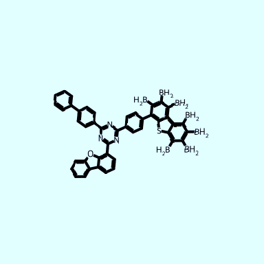 Bc1c(B)c(B)c2c(sc3c(-c4ccc(-c5nc(-c6ccc(-c7ccccc7)cc6)nc(-c6cccc7c6oc6ccccc67)n5)cc4)c(B)c(B)c(B)c32)c1B